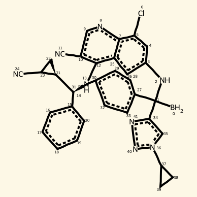 BC(Nc1cc(Cl)c2ncc(C#N)c(N[C@@H](c3ccccc3)[C@@H]3CC3C#N)c2c1)(c1ccc(F)cc1)c1cn(C2CC2)nn1